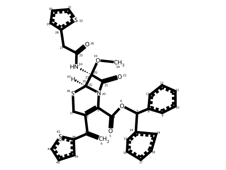 C=C(C1=C(C(=O)OC(c2ccccc2)c2ccccc2)N2C(=O)[C@](NC(=O)Cc3cccs3)(OC)[C@@H]2SC1)c1cccs1